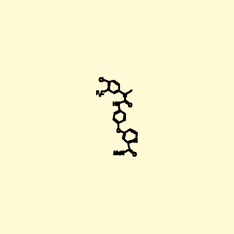 CNC(=O)c1cc(Oc2ccc(NC(=O)N(C)c3ccc(Cl)c(C(F)(F)F)c3)cc2)ccn1